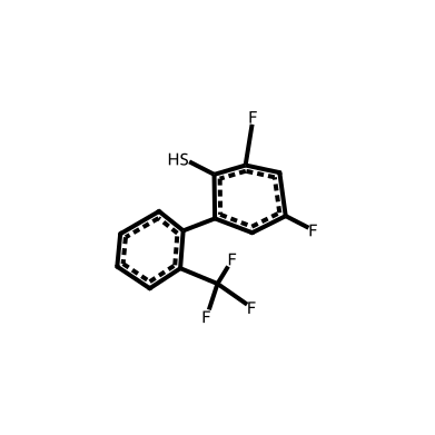 Fc1cc(F)c(S)c(-c2ccccc2C(F)(F)F)c1